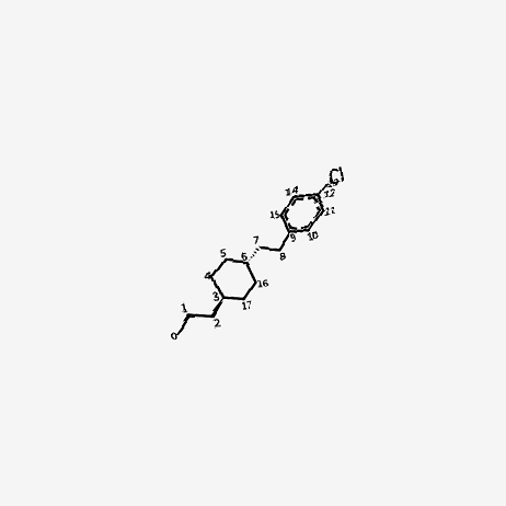 CCC[C@H]1CC[C@H](CCc2ccc(Cl)cc2)CC1